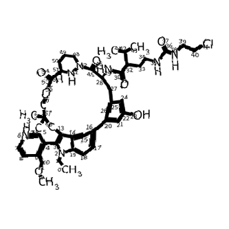 CCn1c(-c2cnccc2COC)c2c3cc(ccc31)-c1cc(O)cc(c1)C[C@H](NC(=O)C(CCNC(=O)NCCCl)C(C)C)C(=O)N1CCC[C@H](N1)C(=O)OCC(C)(C)C2